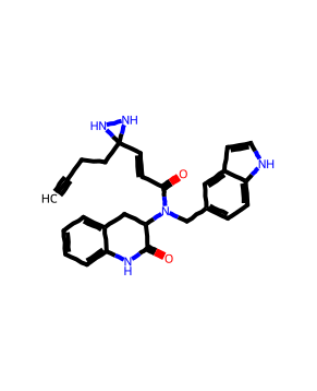 C#CCCC1(C=CC(=O)N(Cc2ccc3[nH]ccc3c2)C2Cc3ccccc3NC2=O)NN1